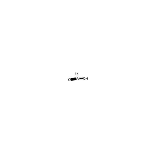 [Fe].[O]=[Al][OH]